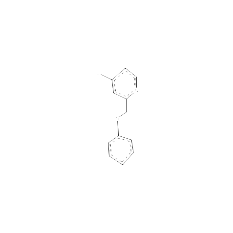 Brc1ccnc(CNc2ccccc2)c1